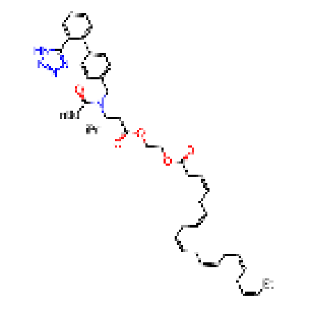 CC/C=C\C/C=C\C/C=C\C/C=C\C/C=C\C/C=C\CC(=O)OCCOC(=O)C[C@H](C(C)C)N(Cc1ccc(-c2ccccc2-c2nnn[nH]2)cc1)C(=O)CCCC